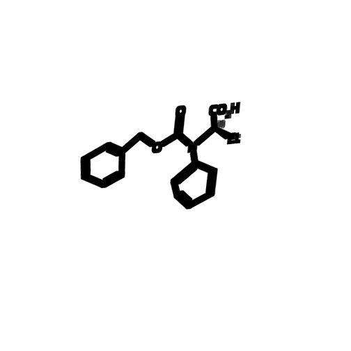 CC[C@H](C(=O)O)N(C(=O)OCc1ccccc1)c1ccccc1